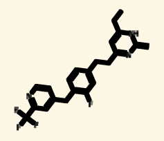 C=C1N=C(CCc2ccc(Cc3ccnc(C(F)(F)F)c3)c(F)c2)C=C(CC)N1